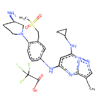 CS(=O)(=O)Cc1cc(Nc2cc(NC3CC3)n3ncc(C#N)c3n2)ccc1N1CC[C@@H](N)C1.O=C(O)C(F)(F)F